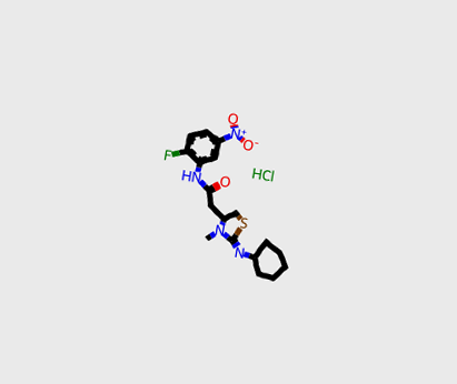 CN1C(=NC2CCCCC2)SCC1CC(=O)Nc1cc([N+](=O)[O-])ccc1F.Cl